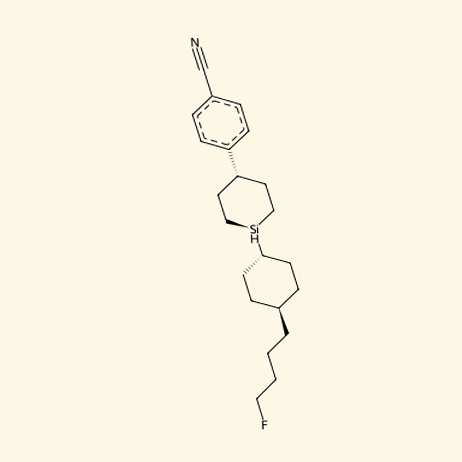 N#Cc1ccc([C@H]2CC[Si@H]([C@H]3CC[C@H](CCCCF)CC3)CC2)cc1